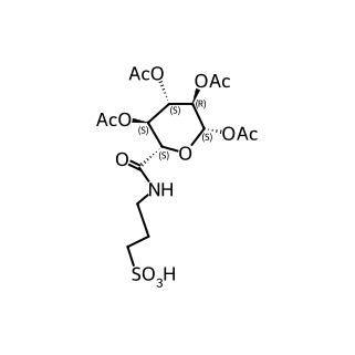 CC(=O)O[C@@H]1O[C@H](C(=O)NCCCS(=O)(=O)O)[C@@H](OC(C)=O)[C@H](OC(C)=O)[C@H]1OC(C)=O